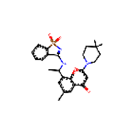 Cc1cc(C(C)NC2=NS(=O)(=O)c3ccccc32)c2oc(N3CCC(C)(C)CC3)cc(=O)c2c1